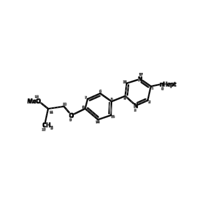 CCCCCCCc1cnc(-c2ccc(OCC(C)OC)cc2)cn1